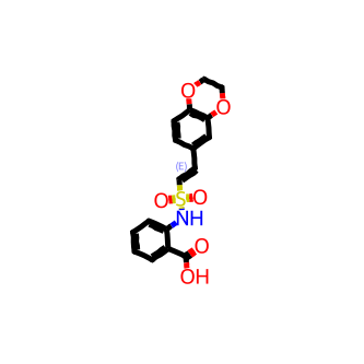 O=C(O)c1ccccc1NS(=O)(=O)/C=C/c1ccc2c(c1)OCCO2